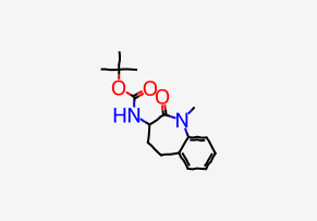 CN1C(=O)C(NC(=O)OC(C)(C)C)CCc2ccccc21